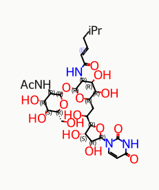 CC(=O)N[C@H]1[C@@H](O[C@H]2O[C@H](CC(O)[C@H]3O[C@@H](n4ccc(=O)[nH]c4=O)[C@H](O)[C@@H]3O)[C@H](O)[C@H](O)[C@H]2NC(=O)/C=C/CC(C)C)O[C@H](CO)[C@@H](O)[C@@H]1O